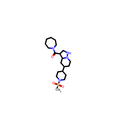 CS(=O)(=O)N1CCC(C2CCN3NCC(C(=O)N4CCCCCC4)C3C2)CC1